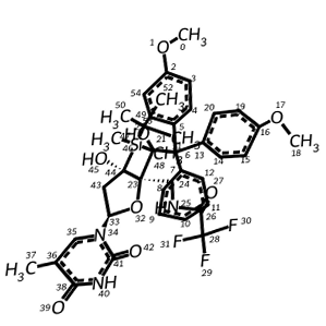 COc1ccc(C(c2ccccc2)(c2ccc(OC)cc2)C(O)[C@@]2(CNC(=O)C(F)(F)F)O[C@@H](n3cc(C)c(=O)[nH]c3=O)C[C@@]2(O)[Si](C)(C)C(C)(C)C)cc1